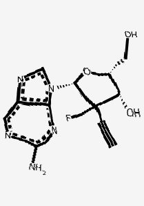 C#CC1(F)[C@@H](O)[C@@H](CO)O[C@H]1n1cnc2cnc(N)nc21